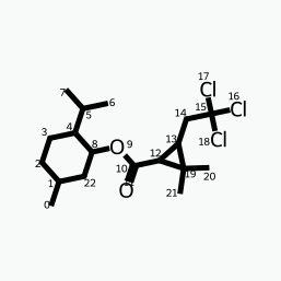 CC1CCC(C(C)C)C(OC(=O)C2C(CC(Cl)(Cl)Cl)C2(C)C)C1